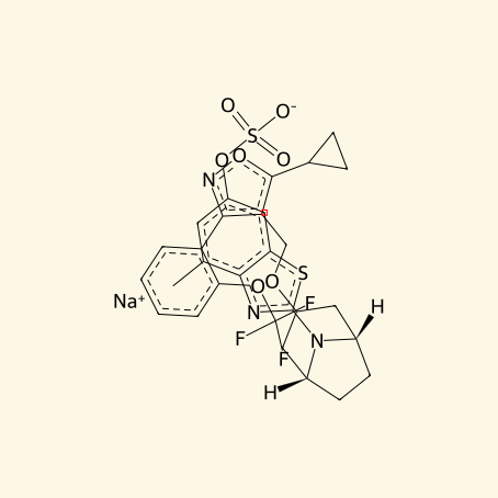 Cc1cc(OS(=O)(=O)[O-])cc2sc(N3[C@@H]4CC[C@H]3CC(OCc3c(-c5ccccc5OC(F)(F)F)noc3C3CC3)C4)nc12.[Na+]